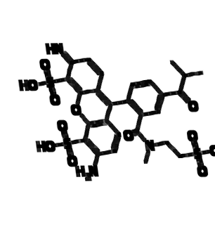 CC(C)C(=O)c1ccc(-c2c3ccc(=N)c(S(=O)(=O)O)c-3oc3c(S(=O)(=O)O)c(N)ccc23)c(C(=O)N(C)CCS(=O)(=O)O)c1